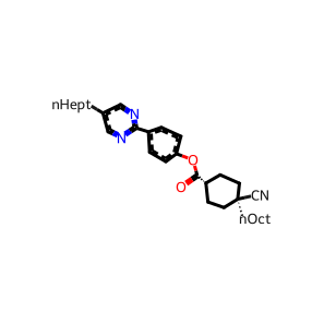 CCCCCCCC[C@]1(C#N)CC[C@H](C(=O)Oc2ccc(-c3ncc(CCCCCCC)cn3)cc2)CC1